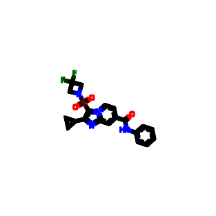 O=C(Nc1ccccc1)c1ccn2c(S(=O)(=O)N3CC(F)(F)C3)c(C3CC3)nc2c1